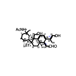 CC[C@@]1([C@@H]2C[C@](C)(NC(C)=O)CC[C@H]2C)CC[C@]2(C)C(=CC=C(/C(C)=C/O)/C2=C\C=O)[C@@]1(C)CO